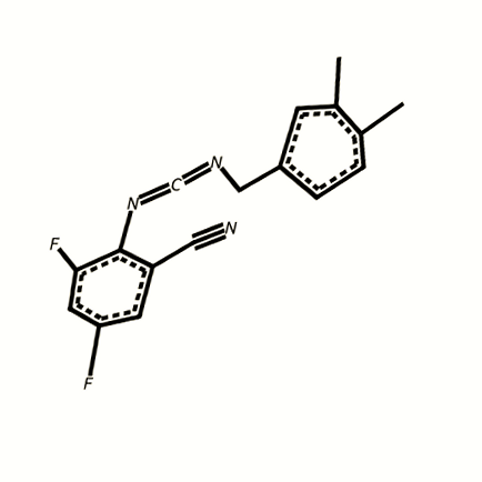 Cc1ccc(CN=C=Nc2c(F)cc(F)cc2C#N)cc1C